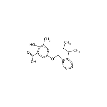 CCC(C)c1ccccc1COc1cc(C)c(O)c(C(=O)O)c1